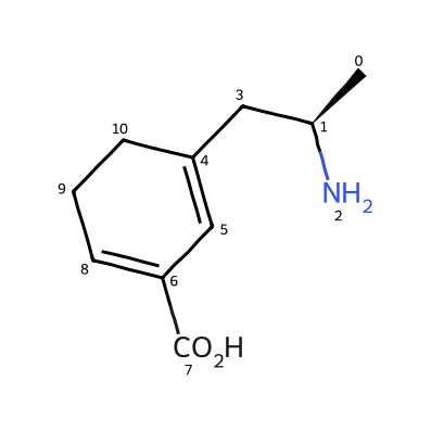 C[C@@H](N)CC1=CC(C(=O)O)=CCC1